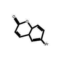 CC(C)C1=CC2C=CC(=O)OC2C=C1